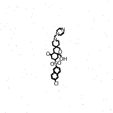 O=C1CC(S(=O)(=O)c2ccc3cc(Cl)ccc3c2)CC2(CO)OCC3(CCN(CN4C=CN=CC4)CC3)CC12